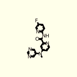 CN(c1cncnc1)c1ccnc(C(=O)Nc2ccc(F)cn2)c1